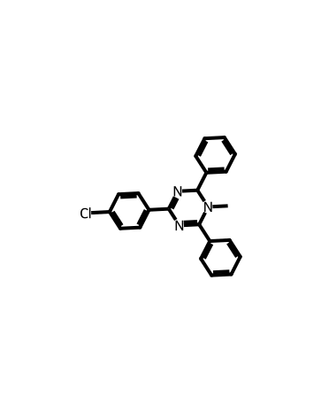 CN1C(c2ccccc2)=NC(c2ccc(Cl)cc2)=NC1c1ccccc1